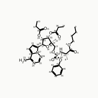 CCCCOC(=O)[C@H](C)N[P@](=O)(OC[C@@]1(C)O[C@@H](c2ccc3c(N)ncnn23)[C@H](OC(=O)CC)[C@@H]1OC(=O)CC)Oc1ccccc1